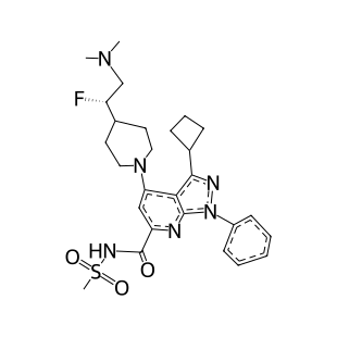 CN(C)C[C@@H](F)C1CCN(c2cc(C(=O)NS(C)(=O)=O)nc3c2c(C2CCC2)nn3-c2ccccc2)CC1